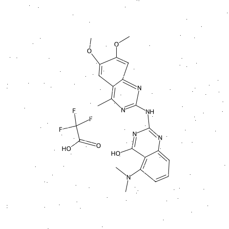 COc1cc2nc(Nc3nc(O)c4c(N(C)C)cccc4n3)nc(C)c2cc1OC.O=C(O)C(F)(F)F